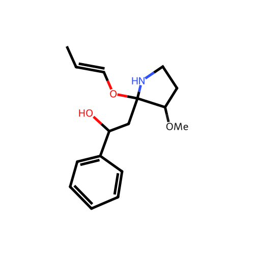 CC=COC1(CC(O)c2ccccc2)NCCC1OC